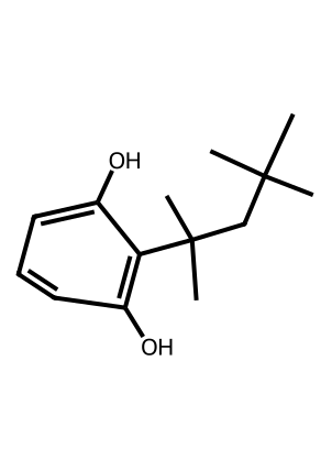 CC(C)(C)CC(C)(C)c1c(O)cccc1O